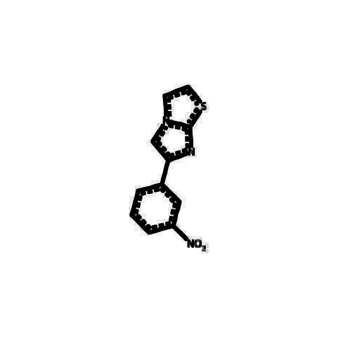 O=[N+]([O-])c1cccc(-c2cn3ccsc3n2)c1